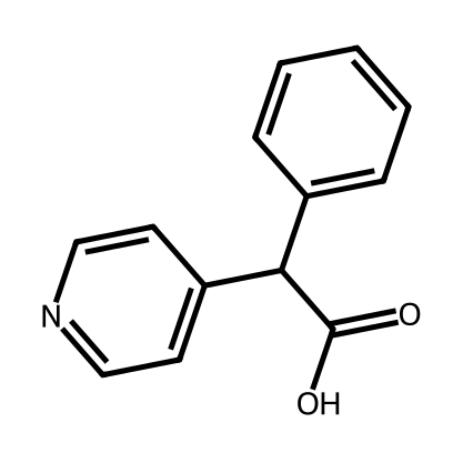 O=C(O)C(c1ccccc1)c1ccncc1